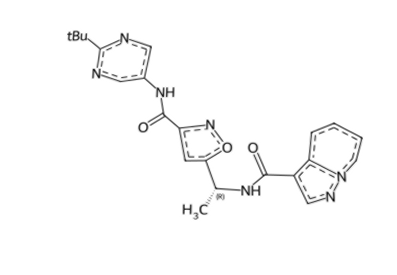 C[C@@H](NC(=O)c1cnn2ccccc12)c1cc(C(=O)Nc2cnc(C(C)(C)C)nc2)no1